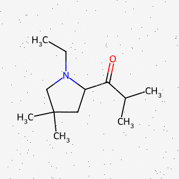 CCN1CC(C)(C)CC1C(=O)C(C)C